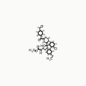 CCc1cccc(-c2c(Cl)cccc2C(O)(CCCNC(=O)OC)[C@@H]2CCCN(C(=O)c3ccc(C=O)cc3)C2)c1